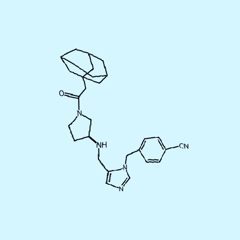 N#Cc1ccc(Cn2cncc2CNC2CCN(C(=O)CC34CC5CC(CC(C5)C3)C4)C2)cc1